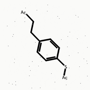 CC(=O)CCc1ccc(SC(C)=O)cc1